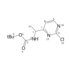 CC(NC(=O)OC(C)(C)C)c1ccnc(Cl)n1